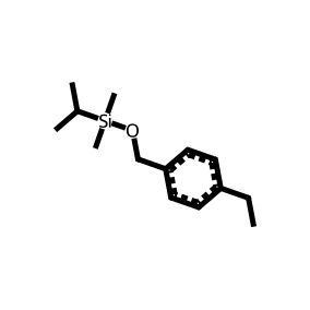 CCc1ccc(CO[Si](C)(C)C(C)C)cc1